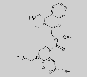 COC(=O)C[C@H]1C(=O)N(CC(=O)O)CCN1C(=O)[C@H](CC(=O)N1CCNCC1c1ccncc1)OC(C)=O